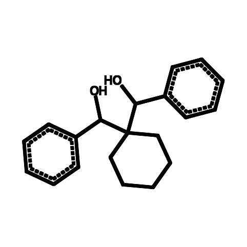 OC(c1ccccc1)C1(C(O)c2ccccc2)CCCCC1